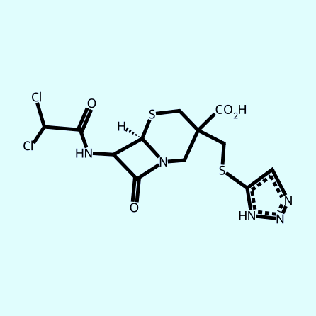 O=C(NC1C(=O)N2CC(CSc3cnn[nH]3)(C(=O)O)CS[C@H]12)C(Cl)Cl